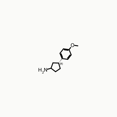 COc1ccc([C@@H]2CCC(N)C2)cc1